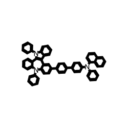 c1ccc(N2c3ccc(-c4ccc(-c5ccc(N(c6ccccc6)c6cccc7ccccc67)cc5)cc4)cc3-c3c(n(-c4ccccc4)c4ccccc34)-c3ccccc32)cc1